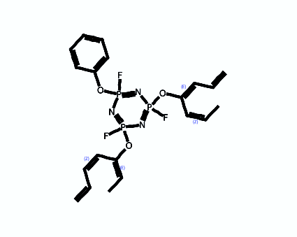 C=C/C=C\C(=C/C)OP1(F)=NP(F)(Oc2ccccc2)=NP(F)(OC(/C=C\C)=C/C=C)=N1